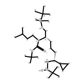 CC(C)CCN(C(=O)OC(C)(C)C)[C@@H](CCC[C@@H](N[S@+]([O-])C(C)(C)C)C1CC1)CO[Si](C)(C)C(C)(C)C